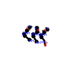 COCC(=O)NCC#Cc1ccc2ncnc(Nc3ccc(Oc4cccnc4C)c(C)c3)c2c1.Cc1cc(Nc2ncnc3ccc(C#CC4CCNCC4)cc23)ccc1Oc1cccnc1C.Cc1ccc(Oc2ccc(Nc3ncnc4ccc(C#CC5CCNCC5)cc34)cc2C)cn1